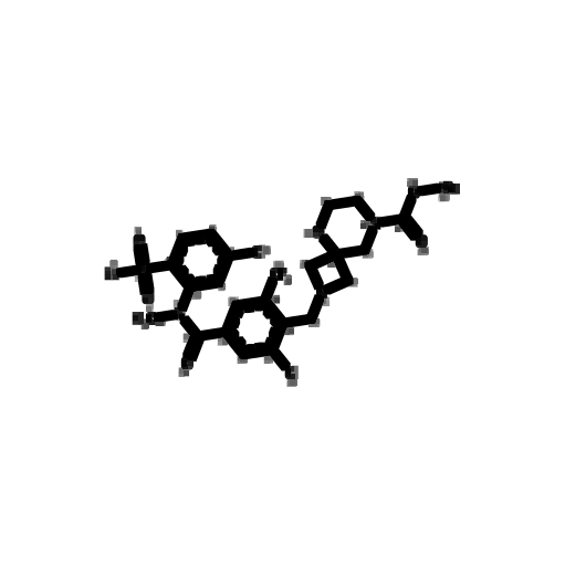 CCS(=O)(=O)c1ccc(Cl)cc1N(C)C(=O)c1cc(Cl)c(CN2CC3(C2)CN(C(=O)OC(C)(C)C)CCO3)c(C(F)(F)F)c1